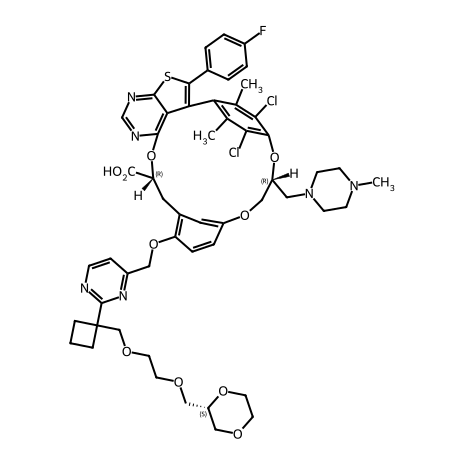 Cc1c(Cl)c2c(Cl)c(C)c1-c1c(-c3ccc(F)cc3)sc3ncnc(c13)O[C@@H](C(=O)O)Cc1cc(ccc1OCc1ccnc(C3(COCCOC[C@H]4COCCO4)CCC3)n1)OC[C@@H](CN1CCN(C)CC1)O2